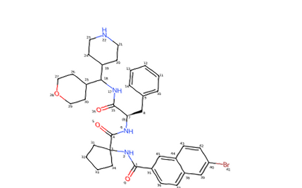 O=C(NC1(C(=O)N[C@H](Cc2ccccc2)C(=O)NC(C2CCNCC2)C2CCOCC2)CCCC1)c1ccc2cc(Br)ccc2c1